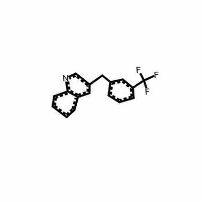 FC(F)(F)c1cccc(Cc2cnc3ccccc3c2)c1